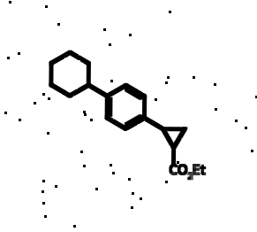 CCOC(=O)C1CC1c1ccc(C2CCCCC2)cc1